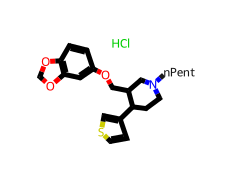 CCCCCN1CCC(c2ccsc2)C(COc2ccc3c(c2)OCO3)C1.Cl